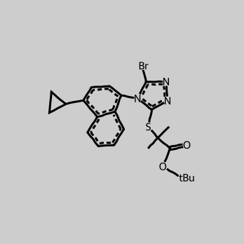 CC(C)(C)OC(=O)C(C)(C)Sc1nnc(Br)n1-c1ccc(C2CC2)c2ccccc12